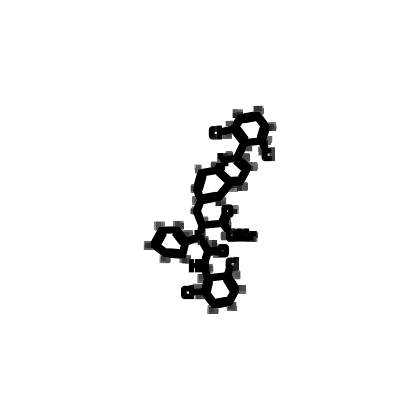 COC(=O)C(Cc1ccc2nc(-c3c(Cl)cccc3Cl)ccc2c1)N(C(=O)Nc1c(Cl)cccc1Cl)c1ccccc1